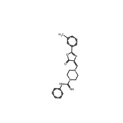 Cc1cccc(C2=N/C(=C/N3CCN(C(=N)Nc4ccccc4)CC3)C(=O)O2)c1